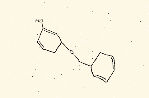 OC1=CC(OCC2C=CC=CC2)CC=C1